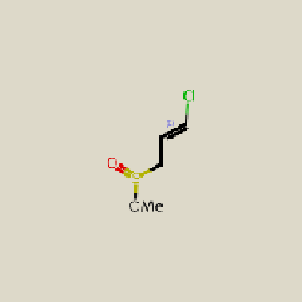 COS(=O)C/C=C/Cl